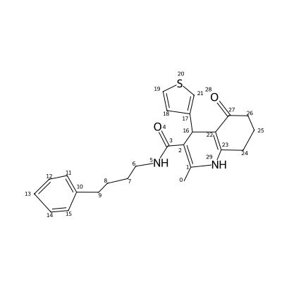 CC1=C(C(=O)NCCCCc2ccccc2)C(c2ccsc2)C2=C(CCCC2=O)N1